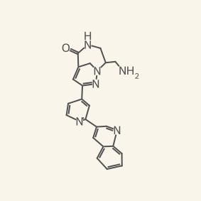 NCC1CNC(=O)C2=CC(c3ccnc(-c4cnc5ccccc5c4)c3)=NN1C2